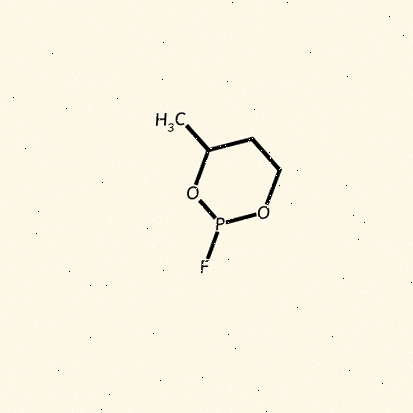 CC1CCOP(F)O1